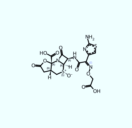 Nc1nc(/C(=N/OCC(=O)O)C(=O)N[C@@H]2C(=O)N3[C@@H]2[S@+]([O-])C[C@@H]2CC(=O)O[C@@]23C(=O)O)cs1